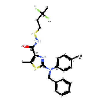 Cc1sc(N(Cc2ccccc2)c2ccc(C#N)cc2)nc1C(=O)NSCCC(C)(F)F